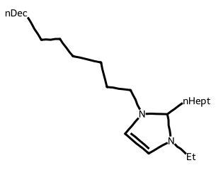 CCCCCCCCCCCCCCCCN1C=CN(CC)C1CCCCCCC